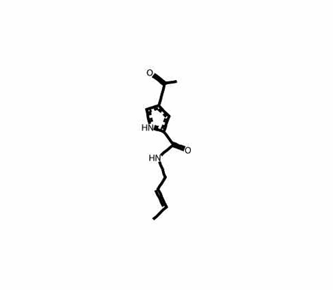 C/C=C/CNC(=O)c1cc(C(C)=O)c[nH]1